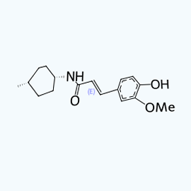 COc1cc(/C=C/C(=O)N[C@H]2CC[C@@H](C)CC2)ccc1O